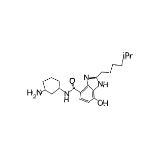 CC(C)CCCCc1nc2c(C(=O)NC3CCCC(N)C3)ccc(O)c2[nH]1